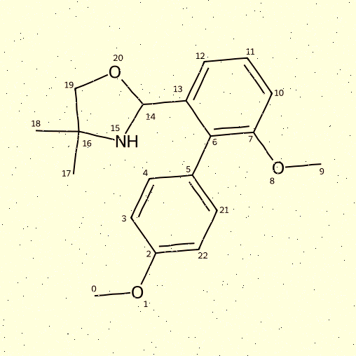 COc1ccc(-c2c(OC)cccc2C2NC(C)(C)CO2)cc1